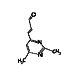 Cc1cc(C=CC=O)nc(C)n1